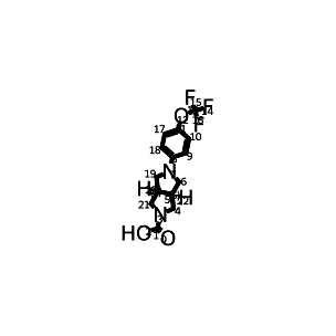 O=C(O)N1C[C@@H]2CN(c3ccc(OC(F)(F)F)cc3)C[C@H]2C1